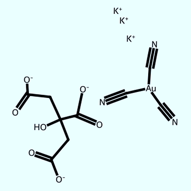 N#[C][Au]([C]#N)[C]#N.O=C([O-])CC(O)(CC(=O)[O-])C(=O)[O-].[K+].[K+].[K+]